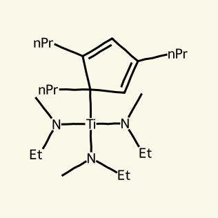 CCCC1=C[C](CCC)([Ti]([N](C)CC)([N](C)CC)[N](C)CC)C(CCC)=C1